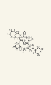 C[C@H](NCC(=O)C(Cc1ccccc1)NC(=O)c1ccccc1)C(=O)N1CC(C2CCCCC2)C[C@H]1C(=O)O